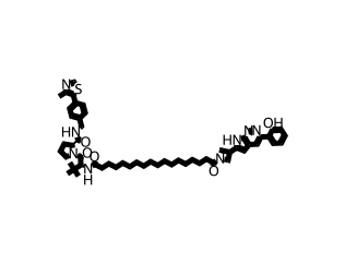 Cc1ncsc1-c1ccc(CNC(=O)[C@@H]2CCCN2C(=O)[C@@H](NC(=O)CCCCCCCCCCCCCCCCC(=O)N2CC(c3cc4cc(-c5ccccc5O)nnc4[nH]3)C2)C(C)(C)C)cc1